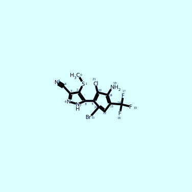 CSc1c(C#N)n[nH]c1-c1c(Br)cc(C(F)(F)F)c(N)c1Cl